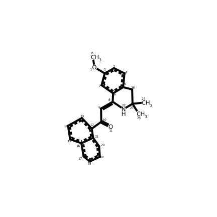 COc1ccc2c(c1)/C(=C/C(=O)c1cccc3ccccc13)NC(C)(C)C2